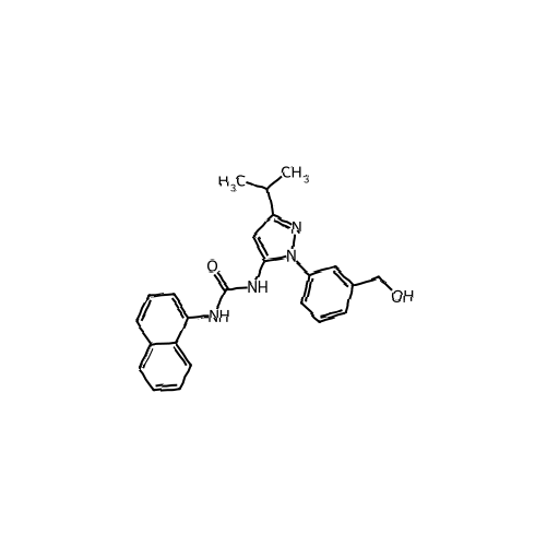 CC(C)c1cc(NC(=O)Nc2cccc3ccccc23)n(-c2cccc(CO)c2)n1